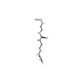 CCCCCOCCOC(=O)NCCCN=[N+]=[N-]